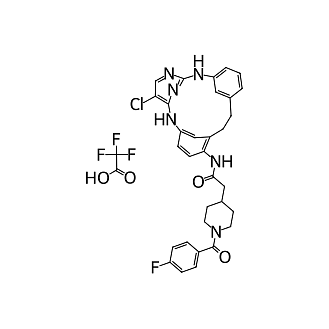 O=C(CC1CCN(C(=O)c2ccc(F)cc2)CC1)Nc1ccc2cc1CCc1cccc(c1)Nc1ncc(Cl)c(n1)N2.O=C(O)C(F)(F)F